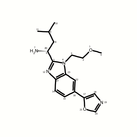 COCCn1c([C@H](N)CC(C)C)nc2ccc(-c3cnco3)cc21